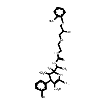 CC1=C(C(=O)O)C(c2cccc([N+](=O)[O-])c2)C(C(=O)O)C(C)(C(C)NC(=S)NCCNCC(O)COc2ccccc2C)N1